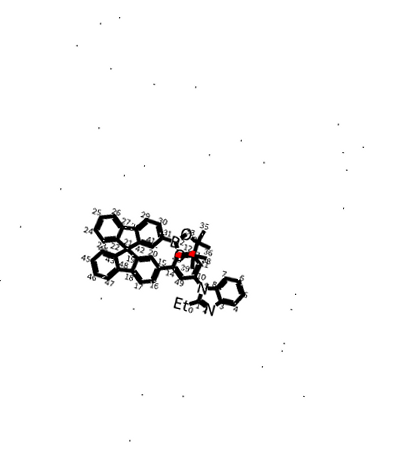 CCc1nc2ccccc2n1-c1cccc(-c2ccc3c(c2)C2(c4ccccc4-c4ccc(B5OC(C)(C)C(C)(C)O5)cc42)c2ccccc2-3)c1